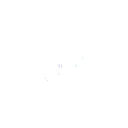 N#CCC(=O)NCc1ccc(F)c(F)c1F